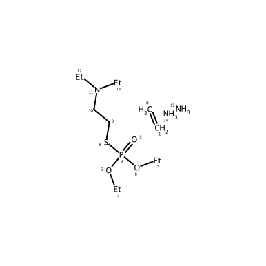 C=C.CCOP(=O)(OCC)SCCN(CC)CC.N.N